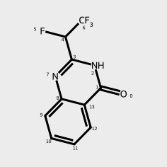 O=c1[nH]c(C(F)C(F)(F)F)nc2ccccc12